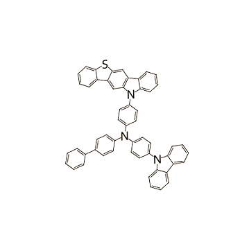 c1ccc(-c2ccc(N(c3ccc(-n4c5ccccc5c5ccccc54)cc3)c3ccc(-n4c5ccccc5c5cc6sc7ccccc7c6cc54)cc3)cc2)cc1